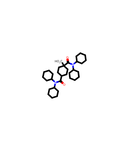 O=C(C1CCC(C(=O)O)(C(=O)N(C2CCCCC2)C2CCCCC2)CC1)N(C1CCCCC1)C1CCCCC1